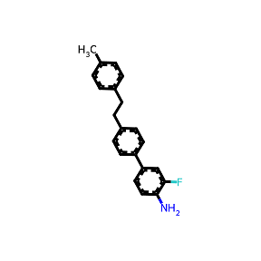 Cc1ccc(CCc2ccc(-c3ccc(N)c(F)c3)cc2)cc1